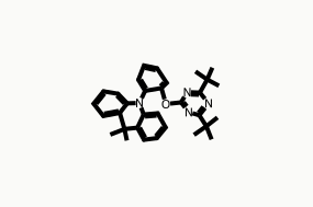 CC(C)(C)c1nc(Oc2ccccc2N2c3ccccc3C(C)(C)c3ccccc32)nc(C(C)(C)C)n1